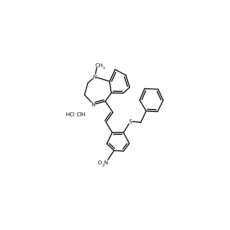 CN1CCN=C(C=Cc2cc([N+](=O)[O-])ccc2SCc2ccccc2)c2ccccc21.Cl.Cl